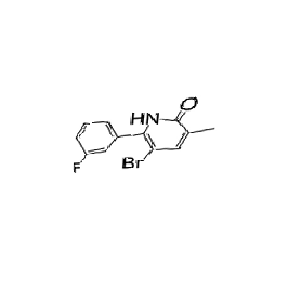 Cc1cc(Br)c(-c2cccc(F)c2)[nH]c1=O